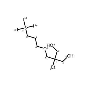 CCC(CO)(CO)COCCCS(I)(I)I